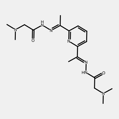 CC(=NNC(=O)CN(C)C)c1cccc(C(C)=NNC(=O)CN(C)C)n1